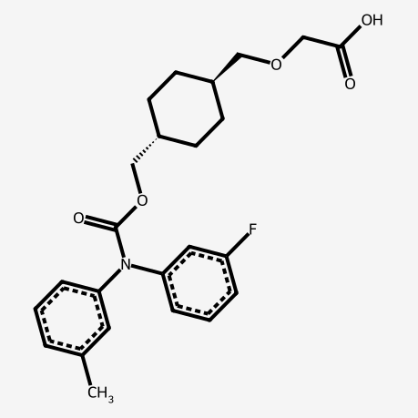 Cc1cccc(N(C(=O)OC[C@H]2CC[C@H](COCC(=O)O)CC2)c2cccc(F)c2)c1